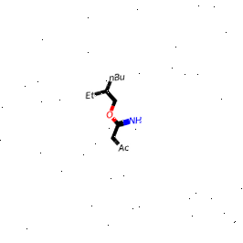 CCCCC(CC)COC(=N)CC(C)=O